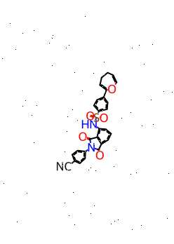 N#Cc1ccc(N2C(=O)c3cccc(NS(=O)(=O)c4ccc(C5=CCCC=CO5)cc4)c3C2=O)cc1